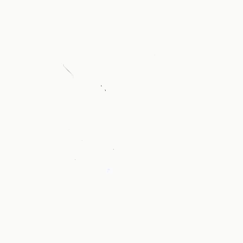 C=C/C=C(\C=C)C1(c2ccccc2)c2ccccc2-c2c(N(c3ccccc3)c3ccc4c(c3)C(C)(C)c3ccccc3-4)c(-c3ccccc3)c3ccccc3c21